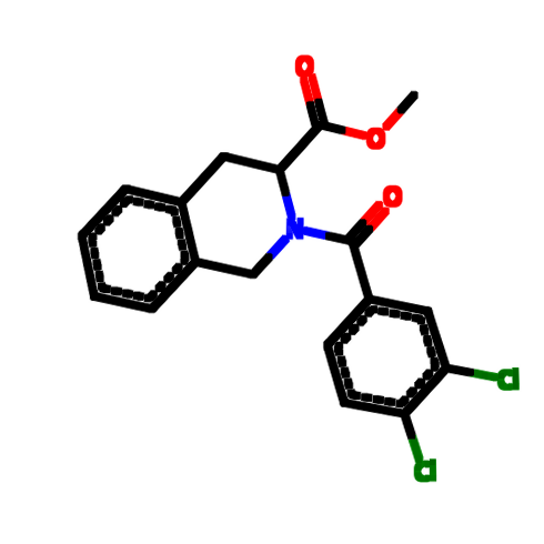 COC(=O)C1Cc2ccccc2CN1C(=O)c1ccc(Cl)c(Cl)c1